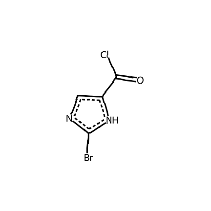 O=C(Cl)c1cnc(Br)[nH]1